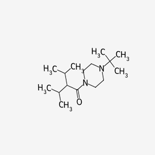 CC(C)C(C(=O)N1CCN(C(C)(C)C)CC1)C(C)C